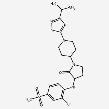 CC(C)c1nsc(N2CCC(N3CCC(Nc4ccc(S(C)(=O)=O)cc4Cl)C3=O)CC2)n1